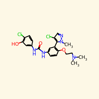 CN(C)CCOc1ccc(NC(=O)Nc2ccc(Cl)c(O)c2)cc1-c1c(Cl)cnn1C